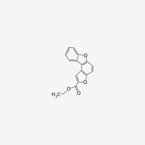 CCOC(=O)c1cc2c(ccc3oc4ccccc4c32)o1